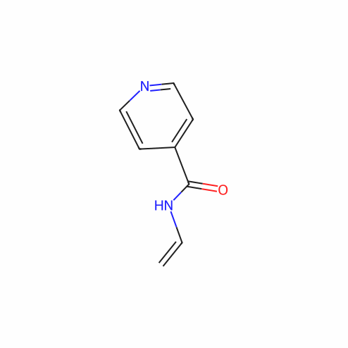 C=CNC(=O)c1ccncc1